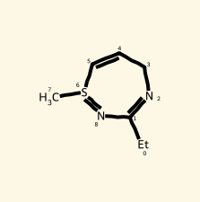 CCC1=NCC=CS(C)=N1